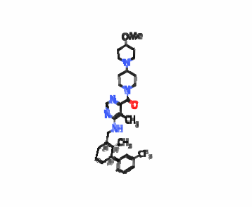 COC1CCN(C2CCN(C(=O)c3ncnc(NC[C@@H]4CCC[C@H](c5cccc(C(F)(F)F)c5)[C@H]4C)c3C)CC2)CC1